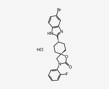 Cl.O=C1O[C@]2(CC[C@H](c3nc4cc(Br)ccc4[nH]3)CC2)CN1c1ccccc1F